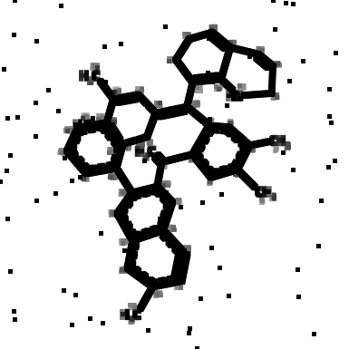 C=C(c1cc(C)c(C)cc1/C(C1=C2NCC=CC2=CCC1)=C1/C=C(C)C(C)=CC1)c1cc2c#cc(C)cc2cc1-c1ccccc1